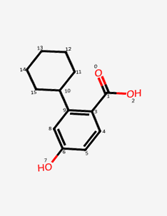 O=C(O)c1ccc(O)cc1C1CCCCC1